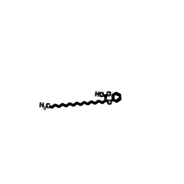 CCCCCCCCCCCCCCCCC(Oc1ccccc1)C(=O)O